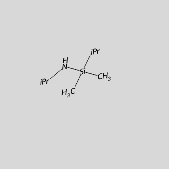 CC(C)N[Si](C)(C)C(C)C